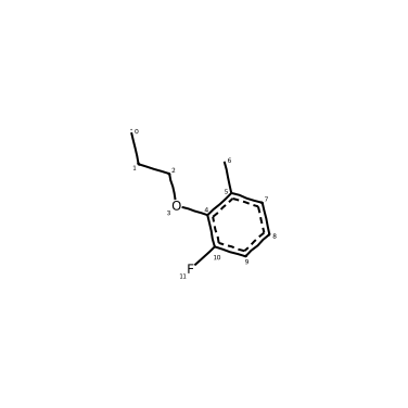 [CH2]CCOc1c(C)cccc1F